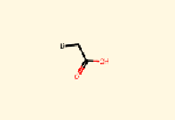 [Li][CH2]C(=O)O